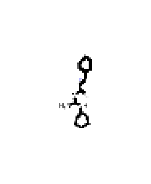 NC(=NC(=O)/C=C/c1ccccc1)NC1=CCCCC1